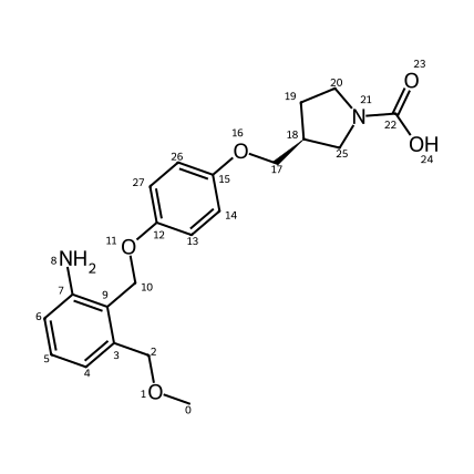 COCc1cccc(N)c1COc1ccc(OC[C@H]2CCN(C(=O)O)C2)cc1